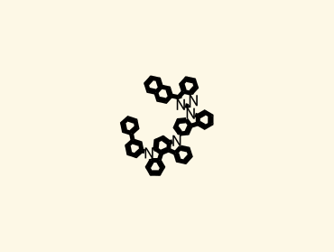 c1ccc(-c2cccc(-n3c4ccccc4c4c5c6ccccc6n(-c6ccc7c(c6)c6ccccc6n7-c6nc(-c7ccc8ccccc8c7)c7ccccc7n6)c5ccc43)c2)cc1